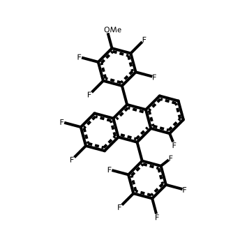 COc1c(F)c(F)c(-c2c3cc(F)c(F)cc3c(-c3c(F)c(F)c(F)c(F)c3F)c3c(F)cccc23)c(F)c1F